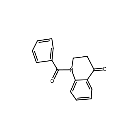 O=C1CCN(C(=O)c2ccccc2)c2ccccc21